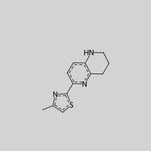 Cc1csc(-c2ccc3c(n2)CCCN3)n1